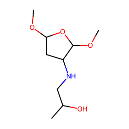 COC1CC(NCC(C)O)C(OC)O1